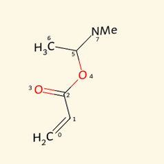 C=CC(=O)OC(C)NC